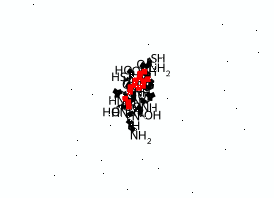 CC(C)C[C@H](NC(=O)[C@H](CO)NC(=O)[C@H](CCCCN)NC(=O)[C@H](CO)NC(=O)[C@H](CC(C)C)NC(=O)[C@@H](Cc1ccccc1)NC(=O)CNC(=O)[C@@H](N)CS)C(=O)N[C@H](C(=O)N[C@@H](Cc1ccccc1)C(=O)N[C@@H](CS)C(=O)O)C(C)C